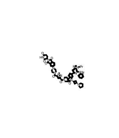 CC(C)n1cnc2cc(-c3ccc4c(c3)N([C@H]3C[C@@H](N5CCCCC5)C3)C(=O)C43CCN(C(=O)c4cc(C(=O)N5CCN(c6ccc7c(c6)C(=O)N(C6CCC(=O)NC6=O)C7=O)CC5)n(C)n4)CC3)nc(Nc3ccccc3F)c21